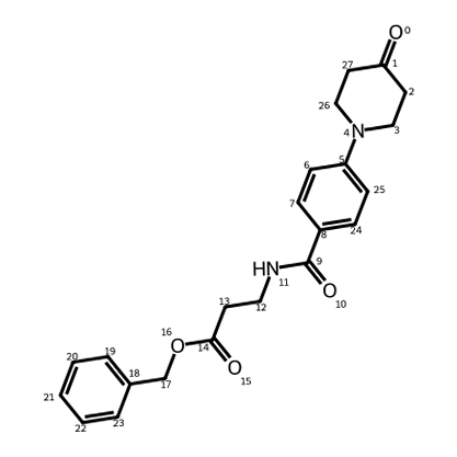 O=C1CCN(c2ccc(C(=O)NCCC(=O)OCc3ccccc3)cc2)CC1